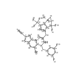 N#Cc1nc2nc(C(Cc3cc(F)cc(F)c3)NC(=O)Cn3nc(C(F)(F)F)c4c3C(F)(F)C3C[C@H]43)c(Br)cc2s1